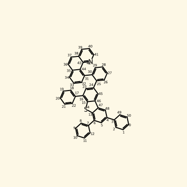 c1ccc(-c2cc(-c3ccccc3)c3sc4c(-c5ccccc5)cc(-c5ccccc5-c5cccc6ccc7cccnc7c56)cc4c3c2)cc1